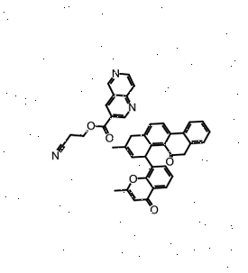 CC1=CC(c2cccc3c(=O)cc(C)oc23)c2c(ccc3c2C(=O)Cc2ccccc2-3)C1.N#CCCOC(=O)c1cnc2ccncc2c1